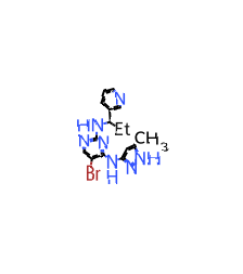 CCC(Nc1ncc(Br)c(Nc2cc(C)[nH]n2)n1)c1cccnc1